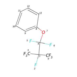 FC(F)(F)C(F)(C(F)(F)F)C(F)(F)Oc1c[c]ccc1